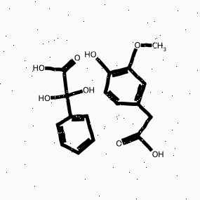 COc1cc(CC(=O)O)ccc1O.O=C(O)C(O)(O)c1ccccc1